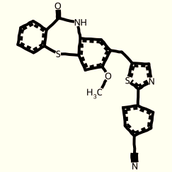 COc1cc2c(cc1Cc1cnc(-c3ccc(C#N)cc3)s1)NC(=O)c1ccccc1S2